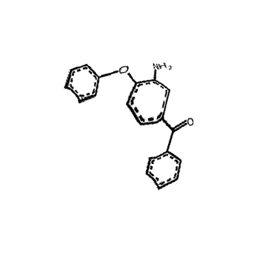 Nc1cc(C(=O)c2ccccc2)ccc1Oc1ccccc1